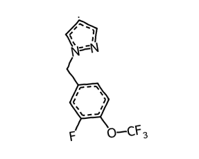 Fc1cc(Cn2c[c]cn2)ccc1OC(F)(F)F